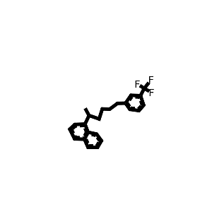 CC(CCCCc1cccc(C(F)(F)F)c1)c1cccc2ccccc12